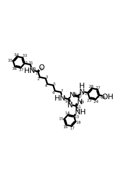 O=C(CCCCCCNc1nc(Nc2ccccc2)nc(Nc2ccc(O)cc2)n1)NCc1ccccc1